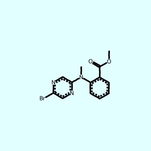 COC(=O)c1ccccc1N(C)c1cnc(Br)cn1